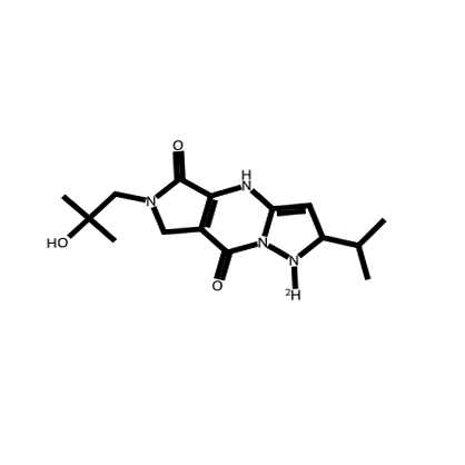 [2H]N1C(C(C)C)C=C2NC3=C(CN(CC(C)(C)O)C3=O)C(=O)N21